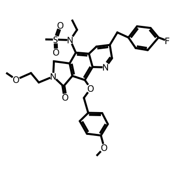 CCN(c1c2c(c(OCc3ccc(OC)cc3)c3ncc(Cc4ccc(F)cc4)cc13)C(=O)N(CCOC)C2)S(C)(=O)=O